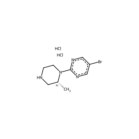 C[C@@H]1CNCCN1c1ncc(Br)cn1.Cl.Cl